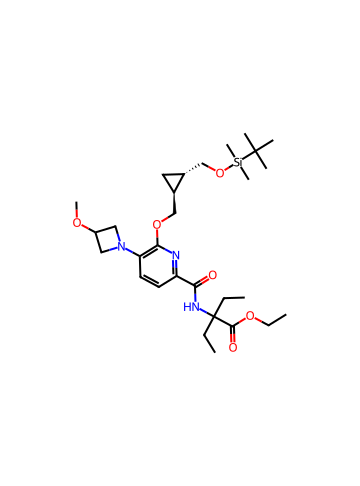 CCOC(=O)C(CC)(CC)NC(=O)c1ccc(N2CC(OC)C2)c(OC[C@H]2C[C@@H]2CO[Si](C)(C)C(C)(C)C)n1